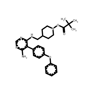 CC(C)(C)C(=O)ON1CCC(CNc2ncnc(N)c2-c2ccc(Oc3ccccc3)cc2)CC1